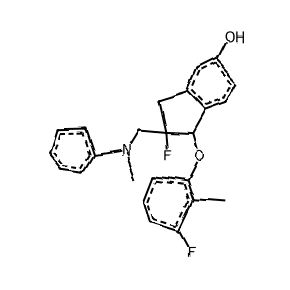 Cc1c(F)cccc1OC1c2ccc(O)cc2CC1(F)CN(C)c1ccccc1